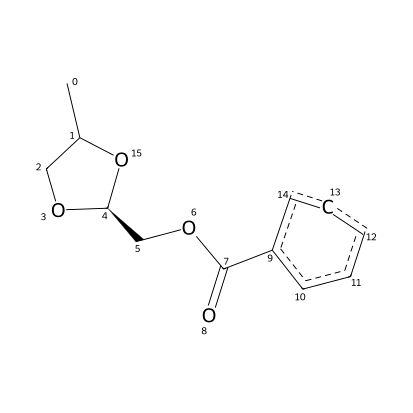 CC1CO[C@H](COC(=O)c2ccccc2)O1